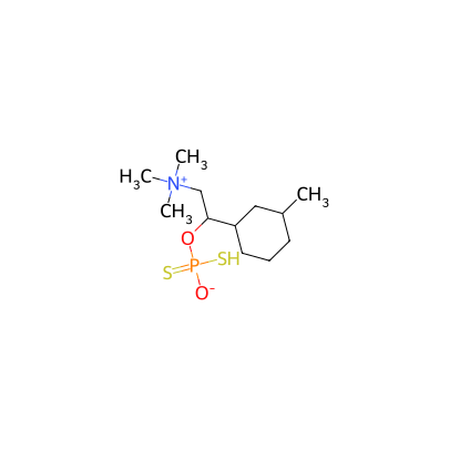 CC1CCCC(C(C[N+](C)(C)C)OP([O-])(=S)S)C1